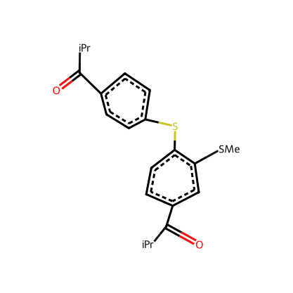 CSc1cc(C(=O)C(C)C)ccc1Sc1ccc(C(=O)C(C)C)cc1